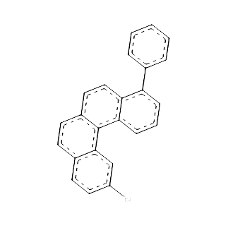 Brc1ccc2ccc3ccc4c(-c5ccccc5)cccc4c3c2c1